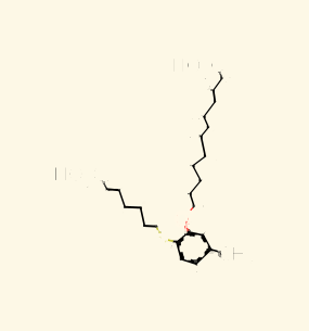 Cc1ccc(SCCCCCCC(=O)O)c(OCCCCCCCCCCCC(=O)O)c1